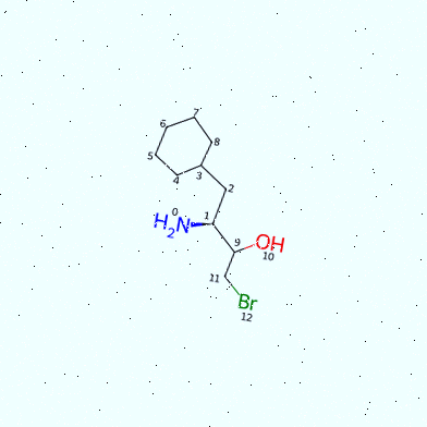 N[C@@H](CC1CCCCC1)C(O)CBr